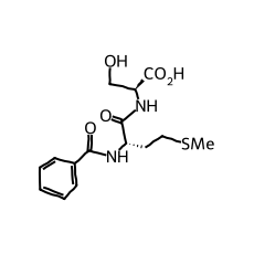 CSCC[C@H](NC(=O)c1ccccc1)C(=O)N[C@@H](CO)C(=O)O